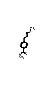 CNCCCc1ccc(C(=O)OC)cc1